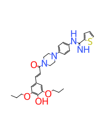 CCCOc1cc(C=CC(=O)N2CCN(c3ccc(NC(=N)c4cccs4)cc3)CC2)cc(OCCC)c1O